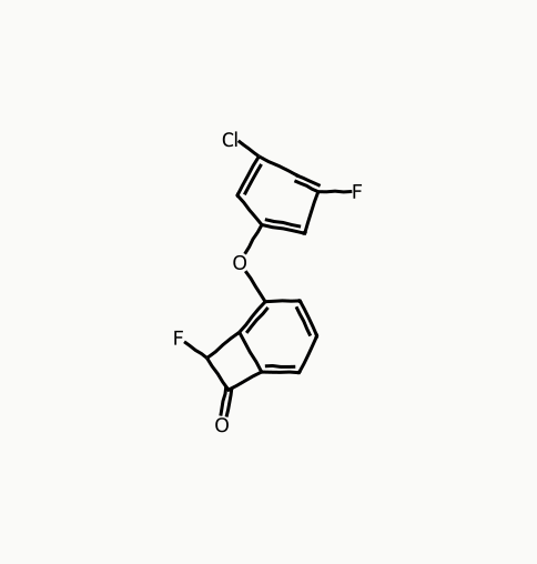 O=C1c2cccc(Oc3cc(F)cc(Cl)c3)c2C1F